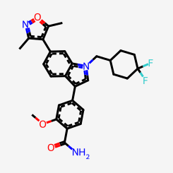 COc1cc(-c2cn(CC3CCC(F)(F)CC3)c3cc(-c4c(C)noc4C)ccc23)ccc1C(N)=O